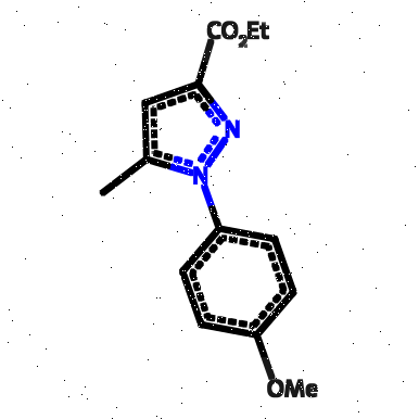 CCOC(=O)c1cc(C)n(-c2ccc(OC)cc2)n1